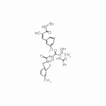 Cc1ccc(CNC(=O)[C@H](COc2cccc(C=C(C#N)C(=O)NC(C)(C)C)c2)NC(=O)[C@@H](NC(=O)C(C)C)[C@@H](C)O)c(F)c1